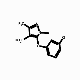 Cn1nc(C(F)(F)F)c(C(=O)O)c1Oc1cccc(Cl)c1